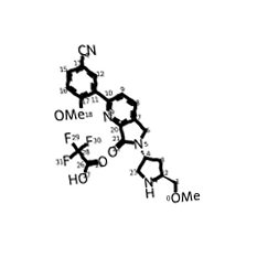 COC[C@@H]1C[C@@H](N2Cc3ccc(-c4cc(C#N)ccc4OC)nc3C2=O)CN1.O=C(O)C(F)(F)F